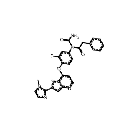 Cn1ccnc1-c1cc2nccc(Oc3ccc(N(C(N)=O)C(=O)Cc4ccccc4)cc3F)c2s1